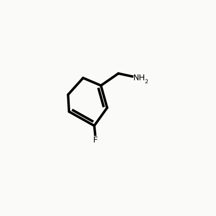 NCC1=CC(F)=CCC1